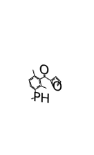 CPc1ccc(C)c(C(=O)c2ccoc2)c1C